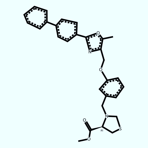 COC(=O)[C@@H]1CSCN1Cc1cccc(OCc2nc(-c3ccc(-c4ccccc4)cc3)oc2C)c1